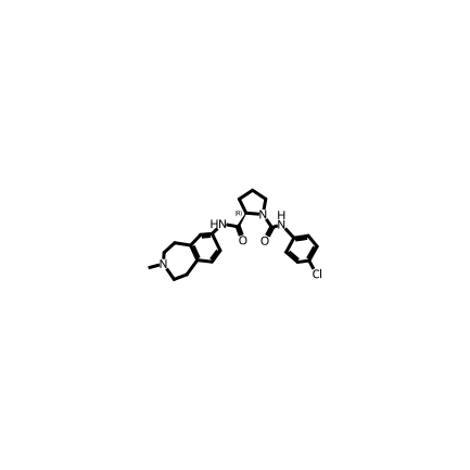 CN1CCc2ccc(NC(=O)[C@H]3CCCN3C(=O)Nc3ccc(Cl)cc3)cc2CC1